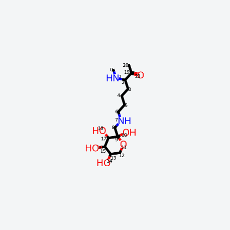 CNC(CCCCNCC1(O)OCC(O)C(O)C1O)C(C)=O